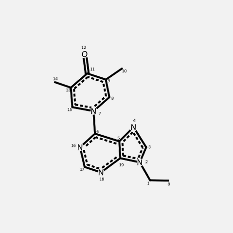 CCn1cnc2c(-n3cc(C)c(=O)c(C)c3)ncnc21